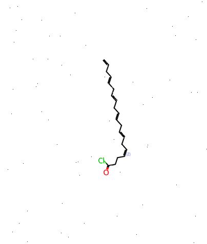 C=CCC=CCC=CCC=CCC=CC/C=C\CCC(=O)Cl